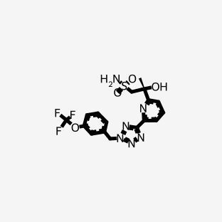 C[C@](O)(CS(N)(=O)=O)c1cccc(-c2nnn(Cc3cccc(OC(F)(F)F)c3)n2)n1